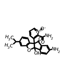 CC(C)c1ccc2c(c1)OC1(O)c3ccc(N)cc3C(=O)C21c1ccc[n+]([O-])c1C(N)=O